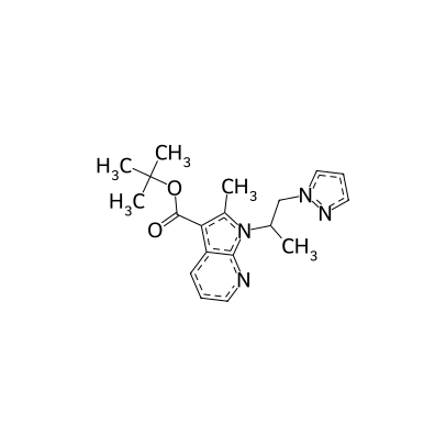 Cc1c(C(=O)OC(C)(C)C)c2cccnc2n1C(C)Cn1cccn1